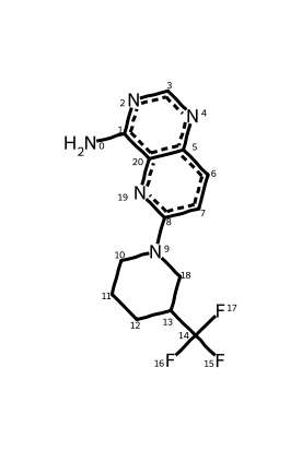 Nc1ncnc2ccc(N3CCCC(C(F)(F)F)C3)nc12